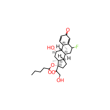 CCCCC(=O)O[C@@]1(C(=O)CO)CC[C@H]2[C@@H]3CC(F)C4=CC(=O)C=C[C@]4(C)[C@H]3[C@@H](O)C[C@@]21C